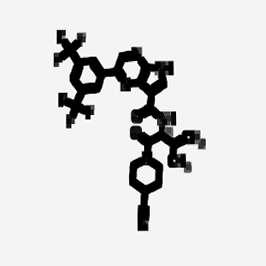 C=C(C)[C@@H](NC(=O)c1c[nH]c2ncc(-c3cc(C(F)(F)F)cc(C(F)(F)F)c3)nc12)C(=O)N1CCC(C#N)CC1